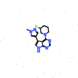 Cn1cc(-c2c[nH]c3ncnc(N4CCCC(F)C4)c23)cn1